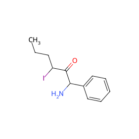 CCCC(I)C(=O)C(N)c1ccccc1